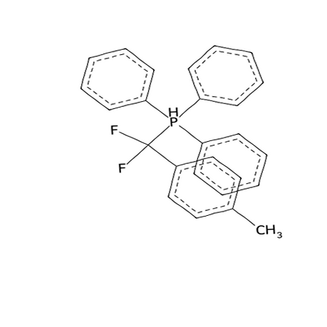 Cc1ccc(C(F)(F)[PH](c2ccccc2)(c2ccccc2)c2ccccc2)cc1